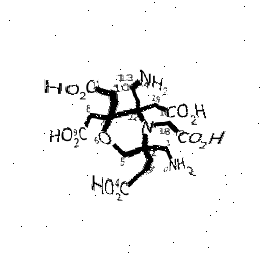 NCC1(CC(=O)O)COC(CC(=O)O)(CC(=O)O)C(CN)(CC(=O)O)N1CC(=O)O